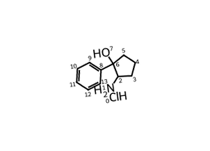 Cl.NC1CCCC1(O)c1ccccc1